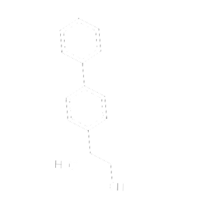 CC[C@H](C)c1ccc(-c2ccccc2)cc1